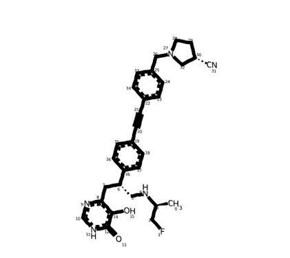 C[C@@H](CF)NC[C@H](Cc1nc[nH]c(=O)c1O)c1ccc(C#Cc2ccc(CN3CC[C@H](C#N)C3)cc2)cc1